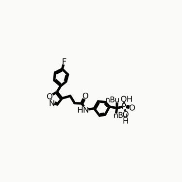 CCCCC(CCCC)(c1ccc(NC(=O)CCc2cnoc2-c2ccc(F)cc2)cc1)P(=O)(O)O